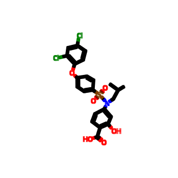 CC(C)CN(c1ccc(C(=O)O)c(O)c1)S(=O)(=O)c1ccc(Oc2ccc(Cl)cc2Cl)cc1